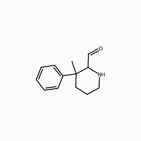 CC1(c2ccccc2)CCCNC1C=O